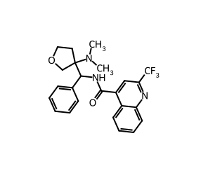 CN(C)C1(C(NC(=O)c2cc(C(F)(F)F)nc3ccccc23)c2ccccc2)CCOC1